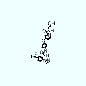 O=C(Nc1ccc(Oc2ccnc(C(=O)NCCO)c2)cc1)Nc1cc(C(F)(F)F)ccc1-n1cncn1